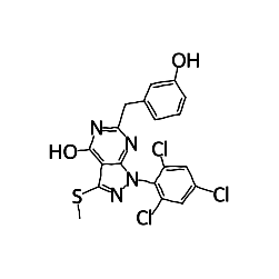 CSc1nn(-c2c(Cl)cc(Cl)cc2Cl)c2nc(Cc3cccc(O)c3)nc(O)c12